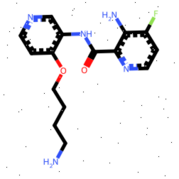 NCCCCOc1ccncc1NC(=O)c1nccc(F)c1N